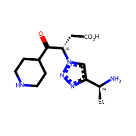 CC[C@H](N)c1cn([C@@H](CC(=O)O)C(=O)C2CCNCC2)nn1